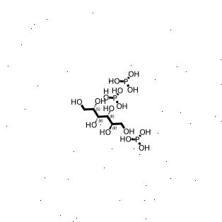 OC[C@@H](O)[C@@H](O)[C@H](O)[C@@H](O)CO.OP(O)O.OP(O)O.OP(O)O